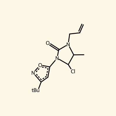 C=CCN1C(=O)N(c2cc(C(C)(C)C)no2)C(Cl)C1C